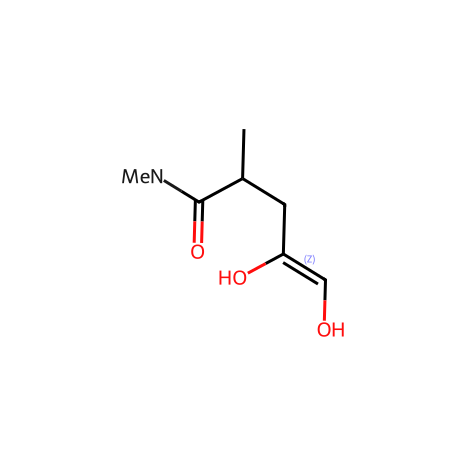 CNC(=O)C(C)C/C(O)=C/O